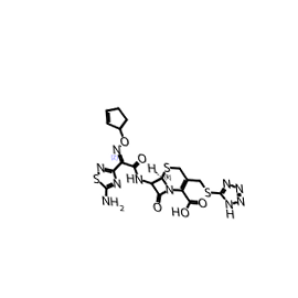 Nc1nc(/C(=N/OC2C=CCC2)C(=O)NC2C(=O)N3C(C(=O)O)=C(CSc4nnn[nH]4)CS[C@H]23)ns1